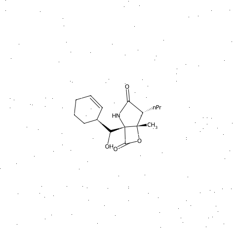 CCC[C@H]1C(=O)N[C@@]2(C(O)[C@@H]3C=CCCC3)C(=O)O[C@@]12C